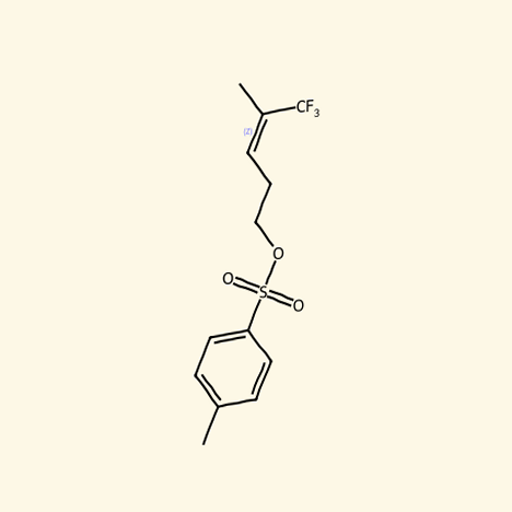 C/C(=C/CCOS(=O)(=O)c1ccc(C)cc1)C(F)(F)F